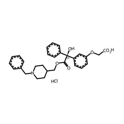 Cl.O=C(O)COc1cccc([C@](O)(C(=O)OCC2CCN(Cc3ccccc3)CC2)c2ccccc2)c1